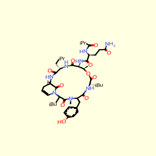 CCC(C)C1C(=O)N(C)C(Cc2ccc(O)cc2)C(=O)N[C@@H](C(C)CC)C(=O)O[C@H](C)[C@H](NC(=O)[C@H](CCC(N)=O)NC(=O)C(C)C)C(=O)N[C@@H](CC(C)C)C(=O)N[C@H]2CC=CN1C2=O